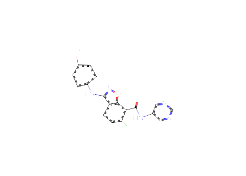 O=C(Nc1cncnc1)c1c(Cl)ccc2c(Nc3ccc(OC(F)(F)F)cc3)noc12